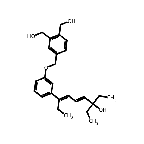 CCC(=CC=CC(O)(CC)CC)c1cccc(OCc2ccc(CO)c(CO)c2)c1